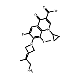 COc1c(N2CC(=C(C)CN)C2)c(F)cc2c(=O)c(C(=O)O)cn(C3CC3)c12